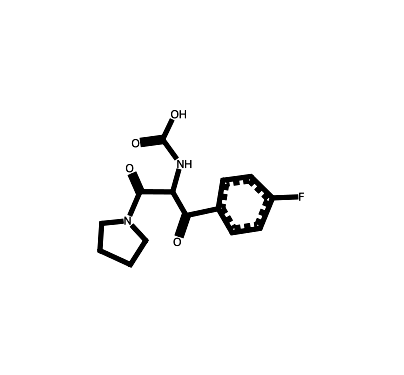 O=C(O)NC(C(=O)c1ccc(F)cc1)C(=O)N1CCCC1